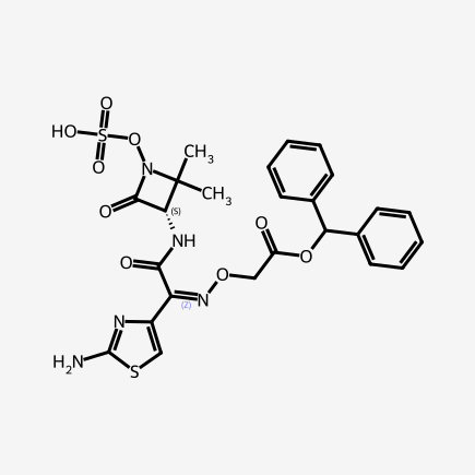 CC1(C)[C@H](NC(=O)/C(=N\OCC(=O)OC(c2ccccc2)c2ccccc2)c2csc(N)n2)C(=O)N1OS(=O)(=O)O